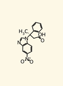 C[C@@](CC(=O)O)(c1ccccc1)n1cnc2cc([N+](=O)[O-])ccc21